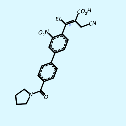 CC/C(=C(/CC#N)C(=O)O)c1ccc(-c2ccc(C(=O)N3CCCC3)cc2)cc1[N+](=O)[O-]